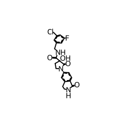 O=C1NCCc2cc(N3CCC(O)(C(=O)NCc4cc(F)cc(Cl)c4)C3=O)ccc21